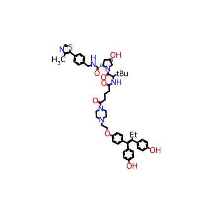 CCC(=C(c1ccc(O)cc1)c1ccc(OCCN2CCN(C(=O)CCCC(=O)NC(C(=O)N3C[C@H](O)C[C@H]3C(=O)NCc3ccc(-c4scnc4C)cc3)C(C)(C)C)CC2)cc1)c1ccc(O)cc1